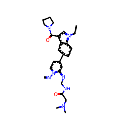 C=Nn1ccc(-c2ccc3c(c2)c(C(=O)N2CCCC2)cn3CC)c/c1=N/CNC(=O)CN(C)C